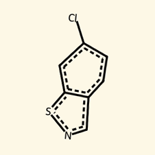 Clc1ccc2cnsc2c1